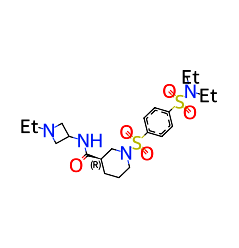 CCN1CC(NC(=O)[C@@H]2CCCN(S(=O)(=O)c3ccc(S(=O)(=O)N(CC)CC)cc3)C2)C1